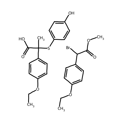 CCOc1ccc(C(Br)C(=O)OC)cc1.CCOc1ccc(C(C)(Sc2ccc(O)cc2)C(=O)O)cc1